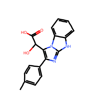 Cc1ccc(-c2nc3[nH]c4ccccc4n3c2C(O)C(=O)O)cc1